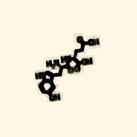 N[C@@H](Cc1c[nH]c2ccc(O)cc12)C(=O)N[C@@H](CCC(=O)O)C(=O)O